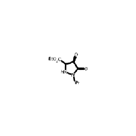 CCOC(=O)C1NN(C(C)C)C(=O)C1=O